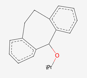 CC(C)OC1c2ccccc2CCc2ccccc21